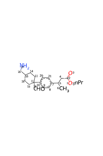 CCCOC(=O)CC(C)c1ccc(C2(C=O)CCC(CN)CC2)cc1